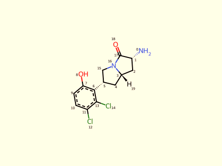 N[C@@H]1C[C@@H]2C[C@H](c3c(O)ccc(Cl)c3Cl)CN2C1=O